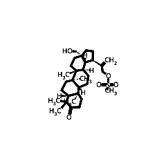 C=C(COS(C)(=O)=O)[C@@H]1CC[C@]2(CO)CC[C@]3(C)[C@H](CC[C@@H]4[C@@]5(C)CCC(=O)C(C)(C)[C@@H]5CC[C@]43C)[C@@H]12